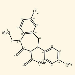 COCN1C(=O)C(C(=O)OC)C(c2ccc(OC)cc2)Cc2cc(C(F)(F)F)ccc21